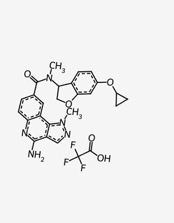 CN(C(=O)c1ccc2nc(N)c3cnn(C)c3c2c1)C1COc2cc(OC3CC3)ccc21.O=C(O)C(F)(F)F